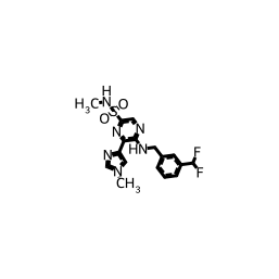 CNS(=O)(=O)c1cnc(NCc2cccc(C(F)F)c2)c(-c2cn(C)cn2)n1